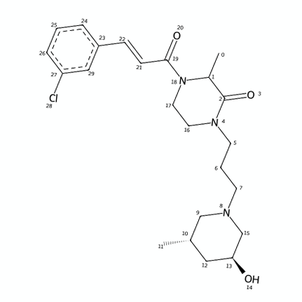 CC1C(=O)N(CCCN2C[C@@H](C)C[C@H](O)C2)CCN1C(=O)C=Cc1cccc(Cl)c1